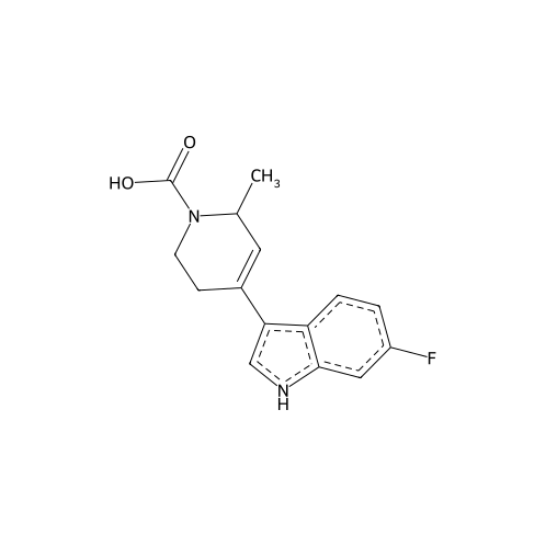 CC1C=C(c2c[nH]c3cc(F)ccc23)CCN1C(=O)O